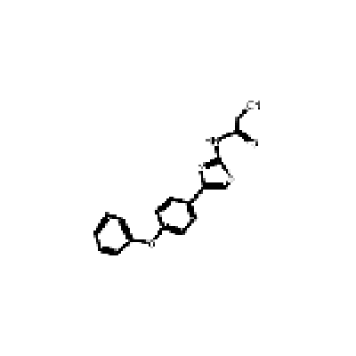 N#CCC(=O)Nc1nc(-c2ccc(Oc3ccccc3)cc2)cs1